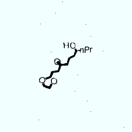 CCC[C@H](O)CCCC(=O)CCC1OCCO1